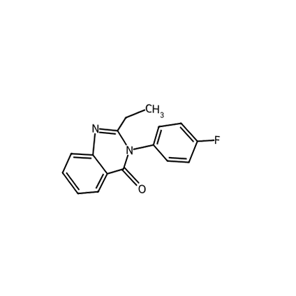 CCc1nc2ccccc2c(=O)n1-c1ccc(F)cc1